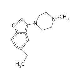 CCc1ccc2occ(N3CCN(C)CC3)c2c1